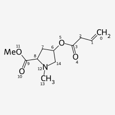 C=CCC(=O)OC1CC(C(=O)OC)N(C)C1